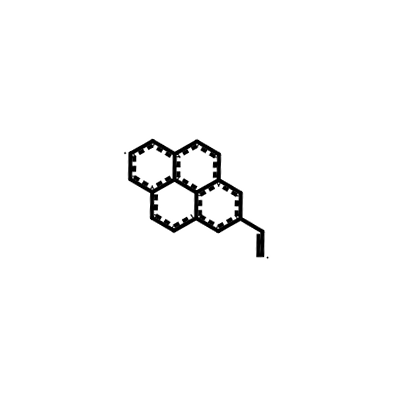 [CH]=Cc1cc2ccc3c[c]cc4ccc(c1)c2c34